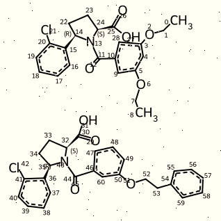 CCOc1cc(OCC)cc(C(=O)N2[C@@H](c3ccccc3Cl)CC[C@H]2C(=O)O)c1.O=C(O)[C@@H]1CC[C@H](c2ccccc2Cl)N1C(=O)c1cccc(OCCc2ccccc2)c1